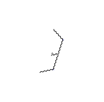 CCCCCCCC/C=C\CCCCCCCCN(CCCCCCCC/C=C\CCCCCCCC)CCN(C)C